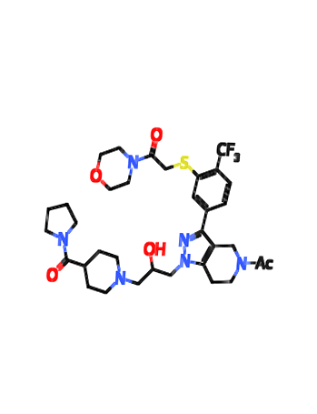 CC(=O)N1CCc2c(c(-c3ccc(C(F)(F)F)c(SCC(=O)N4CCOCC4)c3)nn2CC(O)CN2CCC(C(=O)N3CCCC3)CC2)C1